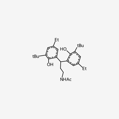 CCc1cc(C(CCNC(C)=O)c2cc(CC)cc(C(C)(C)C)c2O)c(O)c(C(C)(C)C)c1